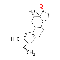 C=Cc1cc2c(cc1C)C1CC[C@]3(C)C(=O)CCC3C1CC2